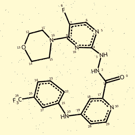 O=C(NNc1ncc(F)c(N2CCOCC2)n1)c1cc(Nc2cccc(C(F)(F)F)c2)ccn1